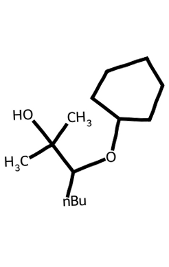 CCCCC(OC1CCCCC1)C(C)(C)O